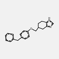 c1ccc(Cc2ccc(OCC3CCc4[nH]cnc4C3)cc2)cc1